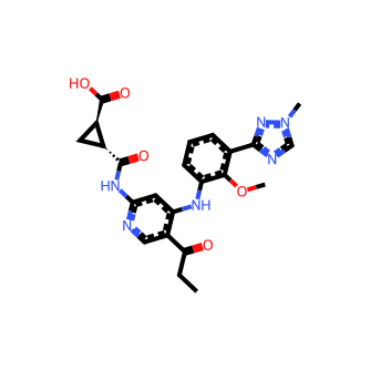 CCC(=O)c1cnc(NC(=O)[C@@H]2C[C@H]2C(=O)O)cc1Nc1cccc(-c2ncn(C)n2)c1OC